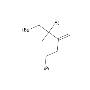 C=C(CCC(C)C)C(C)(CC)CC(C)(C)C